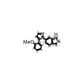 COc1ccccc1-c1ccnn1-c1ccc2cn[nH]c2c1